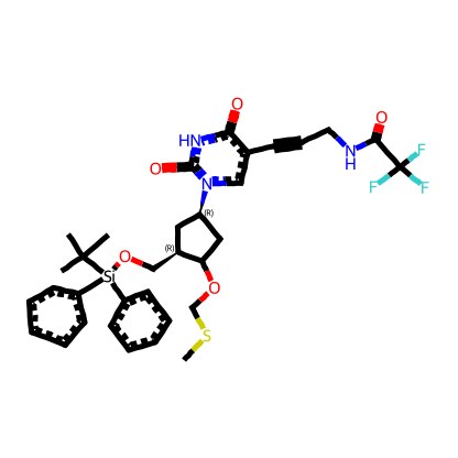 CSCOC1C[C@H](n2cc(C#CCNC(=O)C(F)(F)F)c(=O)[nH]c2=O)C[C@@H]1CO[Si](c1ccccc1)(c1ccccc1)C(C)(C)C